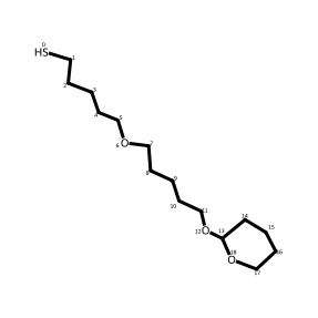 SCCCCCOCCCCCOC1CCCCO1